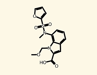 COCn1c(C(=O)O)cc2cccc(N(C)S(=O)(=O)c3ccco3)c21